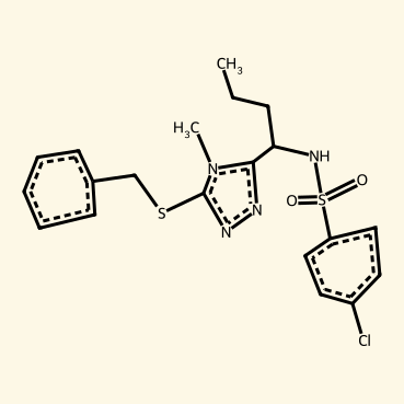 CCCC(NS(=O)(=O)c1ccc(Cl)cc1)c1nnc(SCc2ccccc2)n1C